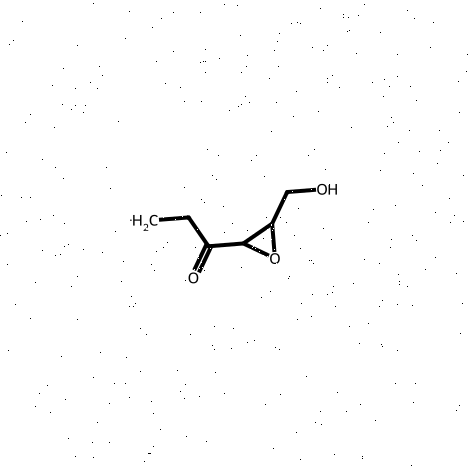 [CH2]CC(=O)C1OC1CO